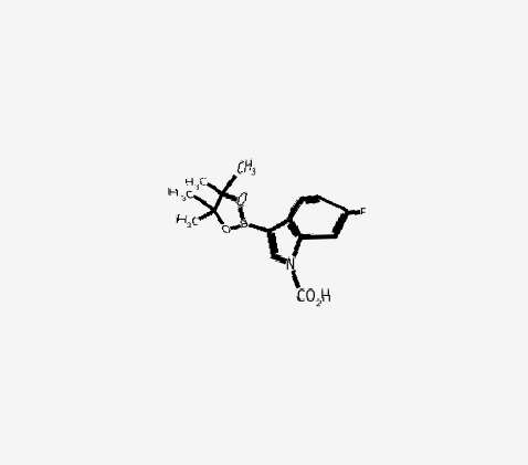 CC1(C)OB(c2cn(C(=O)O)c3cc(F)ccc23)OC1(C)C